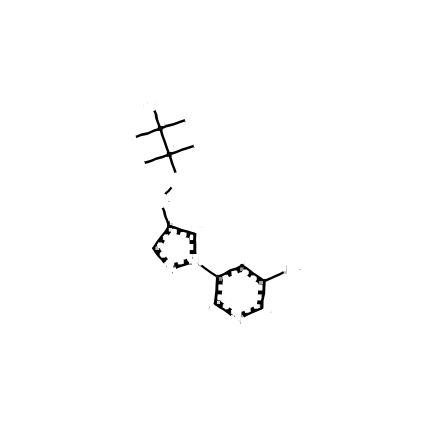 CC(C)(O)C(C)(C)OBc1cnn(-c2cncc(F)c2)c1